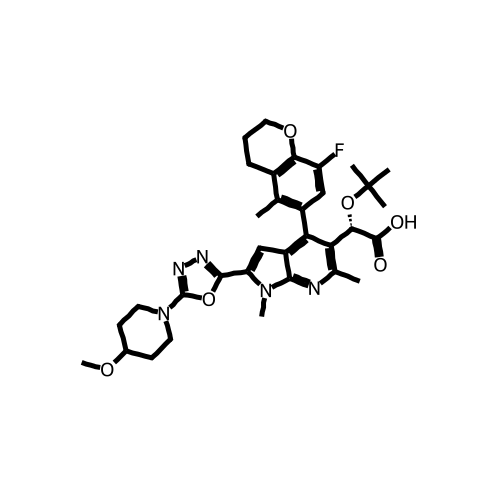 COC1CCN(c2nnc(-c3cc4c(-c5cc(F)c6c(c5C)CCCO6)c([C@H](OC(C)(C)C)C(=O)O)c(C)nc4n3C)o2)CC1